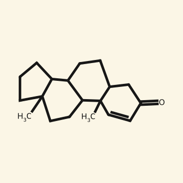 CC12CCCC1C1CCC3CC(=O)C=CC3(C)C1CC2